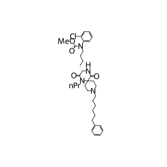 CCCN1C(=O)[C@H](CCCCN(C(=O)OC)c2ccccc2Cl)NC(=O)C12CCN(CCCCCCc1ccccc1)CC2